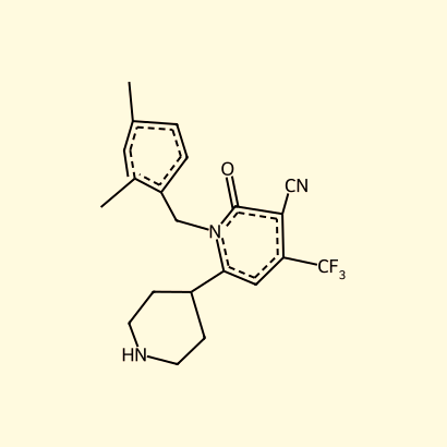 Cc1ccc(Cn2c(C3CCNCC3)cc(C(F)(F)F)c(C#N)c2=O)c(C)c1